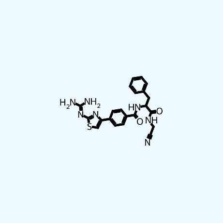 N#CCNC(=O)C(Cc1ccccc1)NC(=O)c1ccc(-c2csc(N=C(N)N)n2)cc1